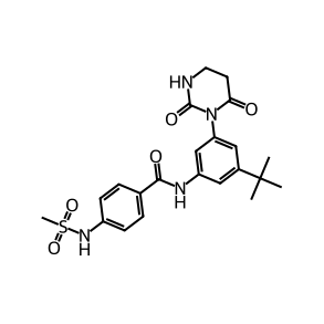 CC(C)(C)c1cc(NC(=O)c2ccc(NS(C)(=O)=O)cc2)cc(N2C(=O)CCNC2=O)c1